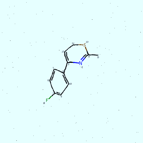 CC1=NC(c2ccc(F)cc2)=CCS1